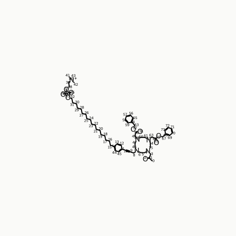 CC(=O)CN1CCN(CC#Cc2ccc(CCCCCCCCCCCCCCCCCCOP(=O)([O-])OCC[N+](C)(C)C)cc2)CCN(CC(=O)OCc2ccccc2)CCN(CC(=O)OCc2ccccc2)CC1